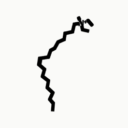 CCCCCCCC/C=C\CCCCCCCC[N+](C)(CC)CC